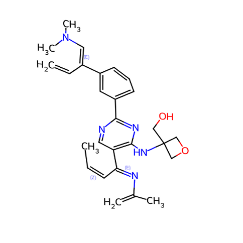 C=C/C(=C\N(C)C)c1cccc(-c2ncc(C(/C=C\C)=N/C(=C)C)c(NC3(CO)COC3)n2)c1